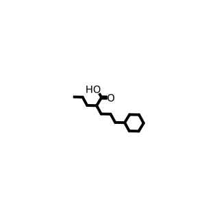 CCCC(CCCC1CCCCC1)C(=O)O